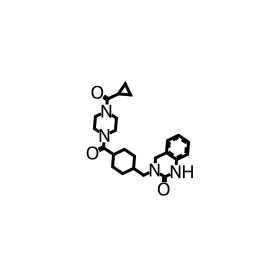 O=C1Nc2ccccc2CN1CC1CCC(C(=O)N2CCN(C(=O)C3CC3)CC2)CC1